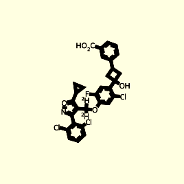 [2H]C([2H])(Oc1cc(Cl)c(C2(O)CC(c3cccc(C(=O)O)c3)C2)cc1F)c1c(-c2c(Cl)cccc2Cl)noc1C1CC1